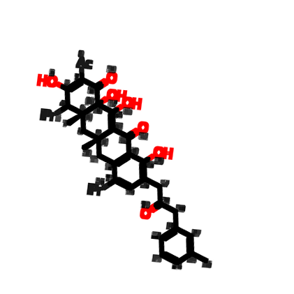 CC(=O)C1=C(O)C(C(C)C)[C@@]2(C)C[C@@]3(C)Cc4c(C(C)C)cc(CC(=O)Cc5cccc(C)c5)c(O)c4C(=O)C3=C(O)[C@@]2(O)C1=O